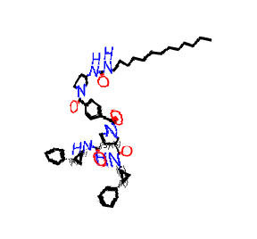 CCCCCCCCCCCCCNC(=O)NC1CCN(C(=O)c2ccc(C(=O)N3C[C@@H](C(=O)N[C@H]4C[C@@H]4c4ccccc4)[C@H](C(=O)N[C@H]4C[C@@H]4c4ccccc4)C3)cc2)C1